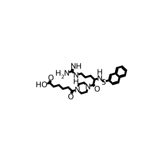 N=C(N)NCCCC(NSc1ccc2ccccc2c1)C(=O)N1CCN(C(=O)CCCCC(=O)O)CC1